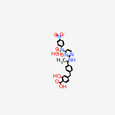 C[C@H](Nc1nccc(N(c2ccc([N+](=O)[O-])cc2)S(=O)(=O)O)n1)c1ccc(Cc2ccc(C(=O)O)c(O)c2)cc1